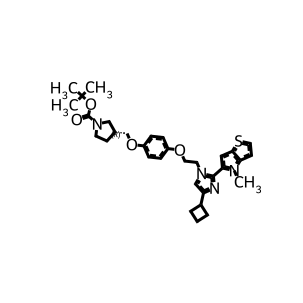 Cn1c(-c2nc(C3CCC3)cn2CCOc2ccc(OC[C@@H]3CCN(C(=O)OC(C)(C)C)C3)cc2)cc2sccc21